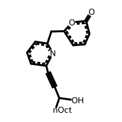 CCCCCCCCC(O)C#Cc1cccc(Cc2cccc(=O)o2)n1